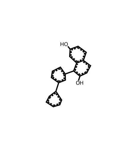 Oc1ccc2ccc(O)c(-c3cccc(-c4ccccc4)c3)c2c1